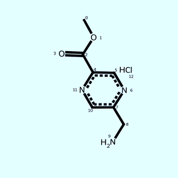 COC(=O)c1cnc(CN)cn1.Cl